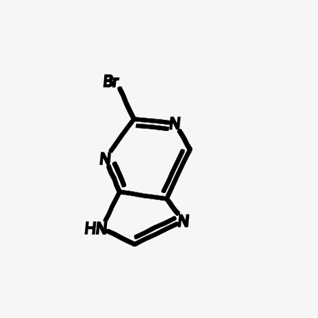 Brc1ncc2nc[nH]c2n1